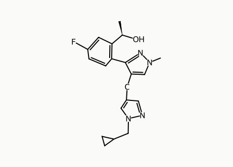 C[C@@H](O)c1cc(F)ccc1-c1nn(C)cc1Cc1cnn(CC2CC2)c1